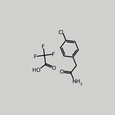 NC(=O)Cc1ccc(Cl)cc1.O=C(O)C(F)(F)F